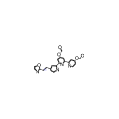 O=COc1ccnc(-c2cc(OC=O)cc(-c3cc(/C=C/c4ncco4)ccn3)n2)c1